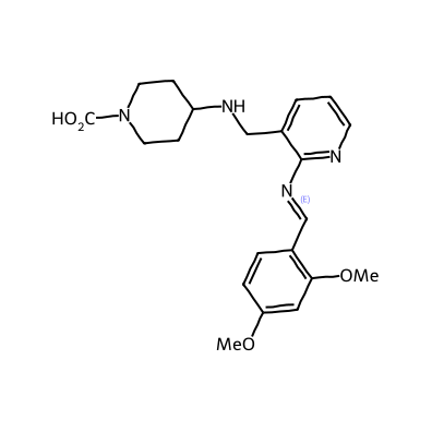 COc1ccc(/C=N/c2ncccc2CNC2CCN(C(=O)O)CC2)c(OC)c1